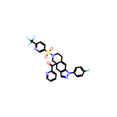 O=C(c1ccccn1)C12Cc3cnn(-c4ccc(F)cc4)c3C=C1CCN(S(=O)(=O)c1ccc(C(F)(F)F)nc1)C2